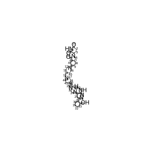 O=C1CCC(N2Cc3ccc(N4CCC(CN5CCC(F)(CN6CCN7c8cc(-c9ccccc9O)nnc8NC[C@H]7C6)CC5)CC4)cc3C2=O)C(=O)N1